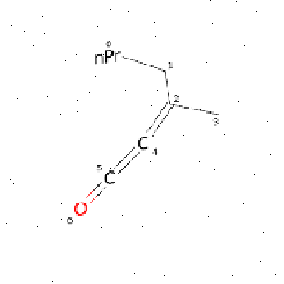 CCCCC(C)=C=C=O